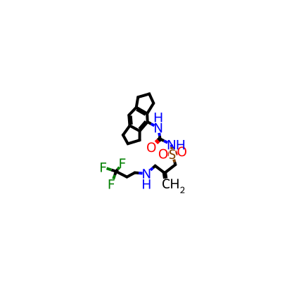 C=C(CNCCC(F)(F)F)CS(=O)(=O)NC(=O)Nc1c2c(cc3c1CCC3)CCC2